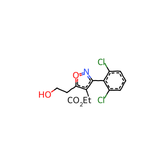 CCOC(=O)c1c(-c2c(Cl)cccc2Cl)noc1CCO